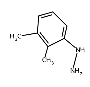 Cc1cccc(NN)c1C